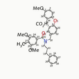 COc1ccc(Oc2ccc(CN(CCCc3ccccc3)C(=O)c3cc(OC)c(C)c(OC)c3)cc2)c(C(=O)O)c1